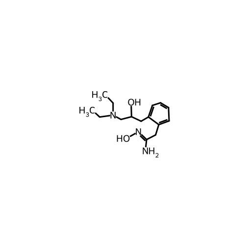 CCN(CC)CC(O)Cc1ccccc1CC(N)=NO